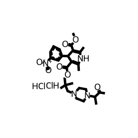 COC(=O)C1=C(C)NC(C)=C(C(=O)OCC(C)(C)CN2CCN(C(C)C(C)=O)CC2)C1c1cccc([N+](=O)[O-])c1.Cl.Cl